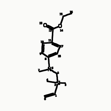 C=C[Si](C)(C)CN(C)c1ccc(C(=O)OCC)cc1